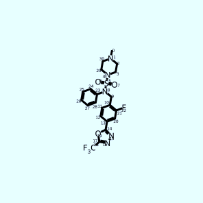 CN1CCN(S(=O)(=O)N(Cc2ccc(-c3nnc(C(F)(F)F)o3)cc2F)c2ccccc2)CC1